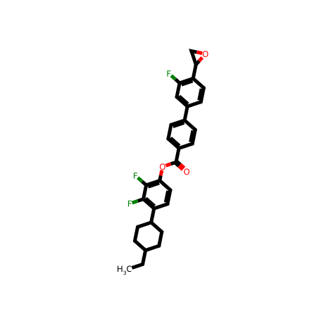 CCC1CCC(c2ccc(OC(=O)c3ccc(-c4ccc(C5CO5)c(F)c4)cc3)c(F)c2F)CC1